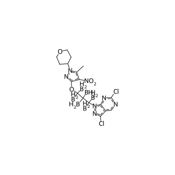 BC(B)(Oc1nn(C2CCOCC2)c(C)c1[N+](=O)[O-])C(B)(B)C(B)(B)n1nc(Cl)c2cnc(Cl)nc21